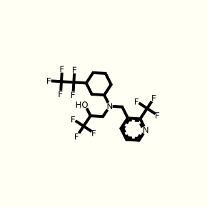 OC(CN(Cc1cccnc1C(F)(F)F)C1CCCC(C(F)(F)C(F)(F)F)C1)C(F)(F)F